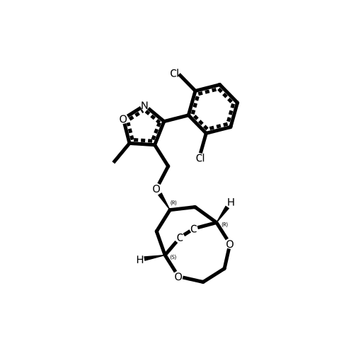 Cc1onc(-c2c(Cl)cccc2Cl)c1CO[C@H]1C[C@H]2CC[C@@H](C1)OCCO2